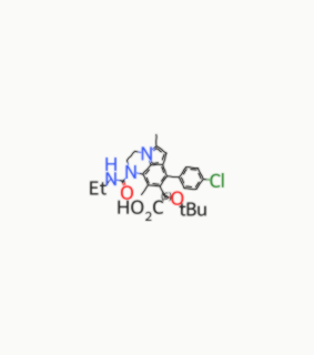 CCNC(=O)N1CCn2c(C)cc3c(-c4ccc(Cl)cc4)c([C@H](OC(C)(C)C)C(=O)O)c(C)c1c32